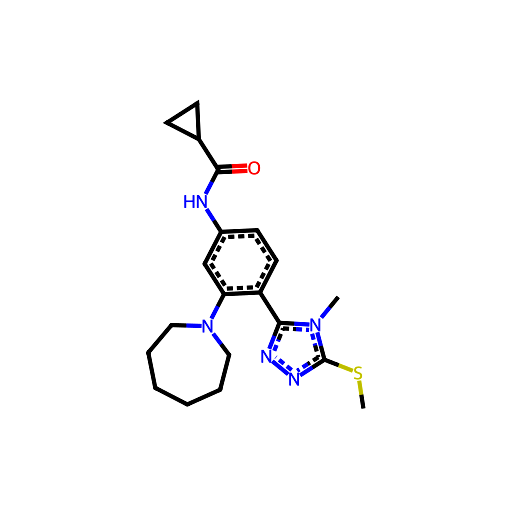 CSc1nnc(-c2ccc(NC(=O)C3CC3)cc2N2CCCCCC2)n1C